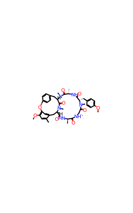 COc1ccc(C[C@H]2C(=O)N[C@@H](C)C(=O)N(C)[C@H]3Cc4ccc(cc4)Oc4cc(c(C)cc4OC)C[C@@H](C(=O)N[C@H](C)C(=O)N[C@@H](C)C(=O)N2C)N(C)C3=O)cc1